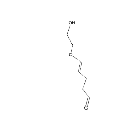 O=CCCC=COCCO